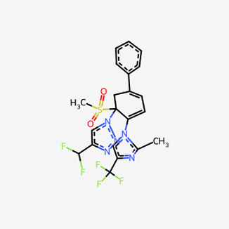 Cc1nc(C(F)(F)F)cn1C1=CC=C(c2ccccc2)CC1(n1cc(C(F)F)nn1)S(C)(=O)=O